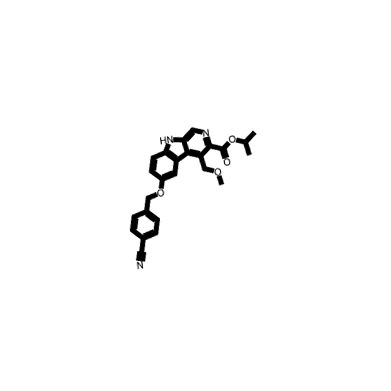 COCc1c(C(=O)OC(C)C)ncc2[nH]c3ccc(OCc4ccc(C#N)cc4)cc3c12